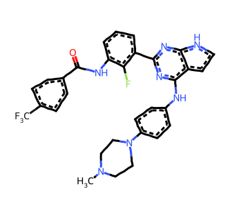 CN1CCN(c2ccc(Nc3nc(-c4cccc(NC(=O)c5ccc(C(F)(F)F)cc5)c4F)nc4[nH]ccc34)cc2)CC1